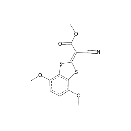 COC(=O)C(C#N)=C1Sc2c(OC)ccc(OC)c2S1